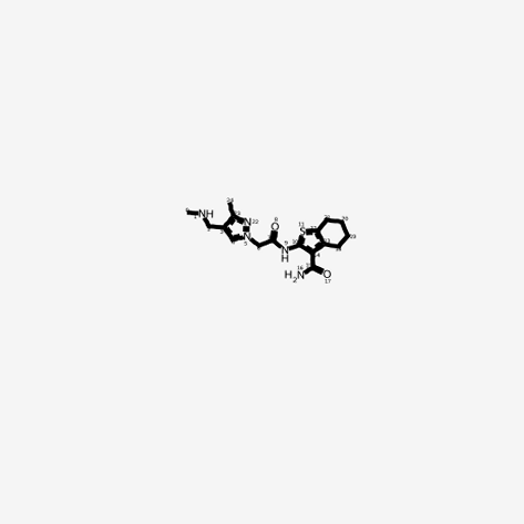 CNCc1cn(CC(=O)Nc2sc3c(c2C(N)=O)CCCC3)nc1C